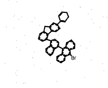 Brc1c2ccccc2c(-c2ccc(-c3cccc4c3-c3ccc(C5=CCCC=C5)cc3C4)c3ccccc23)c2ccccc12